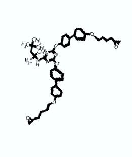 CC(C)(C)CC(C)(C)Nc1nc(Oc2ccc(-c3ccc(OCCCCC4CO4)cc3)cc2)nc(Oc2ccc(-c3ccc(OCCCCC4CO4)cc3)cc2)n1